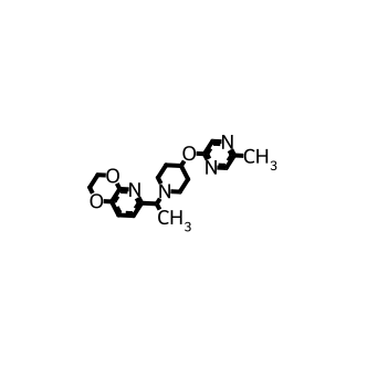 Cc1cnc(OC2CCN(C(C)c3ccc4c(n3)OCCO4)CC2)cn1